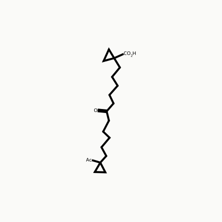 CC(=O)C1(CCCCCC(=O)CCCCCC2(C(=O)O)CC2)CC1